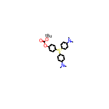 CN(C)c1ccc([S+](c2ccc(OC(=O)OC(C)(C)C)cc2)c2ccc(N(C)C)cc2)cc1